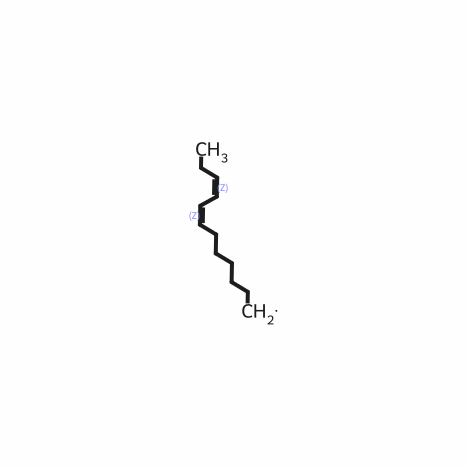 [CH2]CCCCC/C=C\C=C/CC